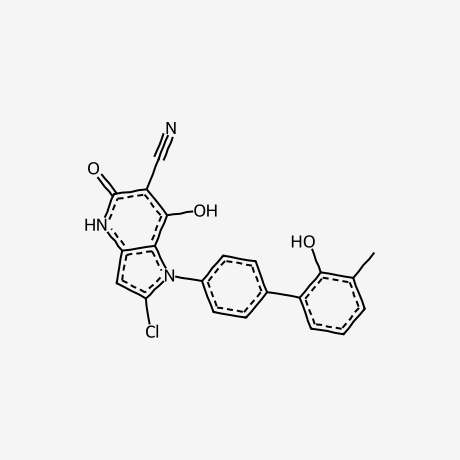 Cc1cccc(-c2ccc(-n3c(Cl)cc4[nH]c(=O)c(C#N)c(O)c43)cc2)c1O